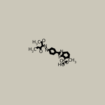 C=CC(=O)C(/N=N/c1ccc(-c2nc3ccc(C)c(S(=O)(=O)O)c3s2)cc1)C(C)=O